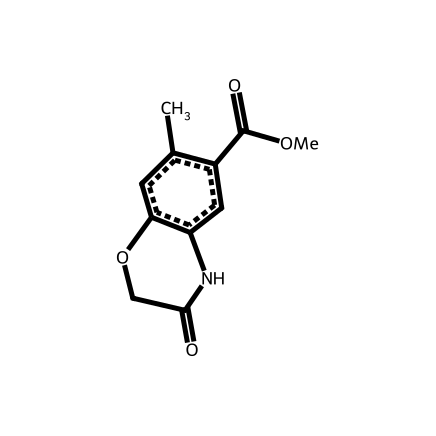 COC(=O)c1cc2c(cc1C)OCC(=O)N2